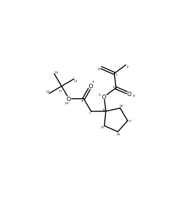 C=C(C)C(=O)OC1(CC(=O)OC(C)(C)C)CCCC1